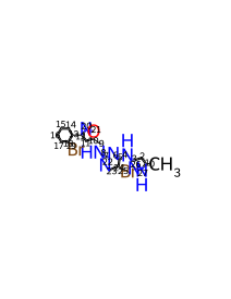 Cc1cc(Nc2nc(NCc3cc(-c4ccccc4Br)no3)ncc2Br)n[nH]1